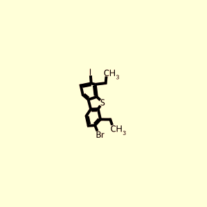 CCc1c(Br)ccc2c1sc1c(CC)c(I)ccc12